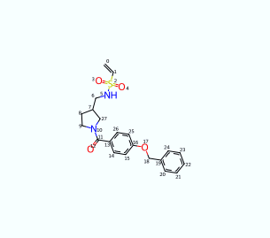 C=CS(=O)(=O)NCC1CCN(C(=O)c2ccc(OCc3ccccc3)cc2)C1